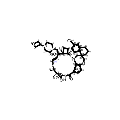 CC(C)CO[C@@]1(CN2CCN(C3COC3)CC2)/C=C/C[C@H](C)[C@@H](C)S(=O)(=O)NC(=O)c2ccc3c(c2)N(C[C@@H]2CC[C@H]21)C[C@@]1(CCCc2cc(Cl)ccc21)CO3